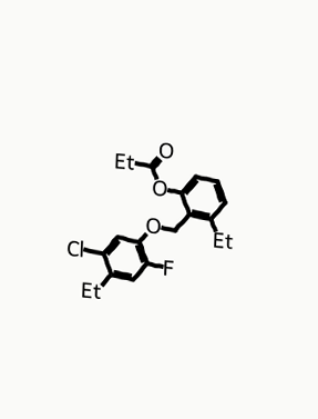 CCC(=O)Oc1cccc(CC)c1COc1cc(Cl)c(CC)cc1F